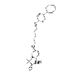 CC1(C)C(=O)Nc2ccc(OCCCCCSc3ccc(C4CCCCC4)cc3)cc21